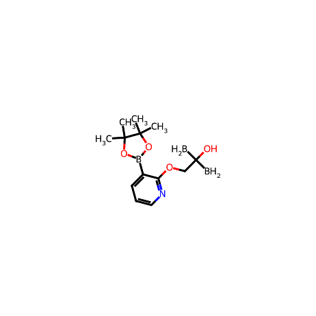 BC(B)(O)COc1ncccc1B1OC(C)(C)C(C)(C)O1